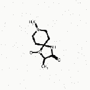 CC1C(=O)NC2(CCN(C)CC2)[S+]1[O-]